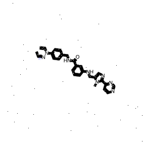 C=CN(/N=C\C)c1ccc(CNC(=O)c2cccc(NCc3cnc(-c4ccncn4)n3C)c2)cc1